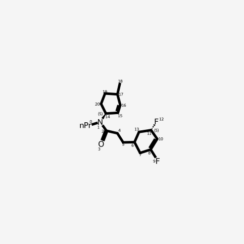 CCCN(C(=O)CCC1CC(F)=C[C@@H](F)C1)[C@@H]1C=CC(C)CC1